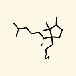 CC(C)CCC[C@@H](C)C1(CCBr)CCC(C)C1(C)C